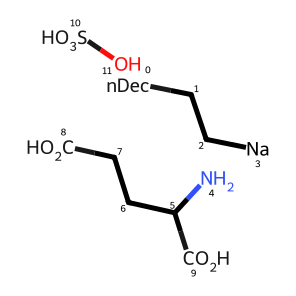 CCCCCCCCCCC[CH2][Na].NC(CCC(=O)O)C(=O)O.O=S(=O)(O)O